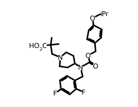 CC(C)Oc1ccc(COC(=O)N(Cc2ccc(F)cc2F)C2CCN(CC(C)(C)C(=O)O)CC2)cc1